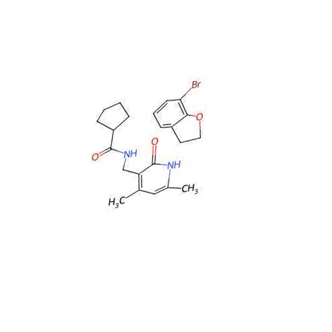 Brc1cccc2c1OCC2.Cc1cc(C)c(CNC(=O)C2CCCC2)c(=O)[nH]1